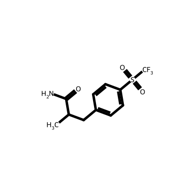 CC(Cc1ccc(S(=O)(=O)C(F)(F)F)cc1)C(N)=O